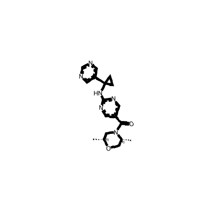 C[C@@H]1CN(C(=O)c2cnc(NC3(c4cncnc4)CC3)nc2)[C@H](C)CO1